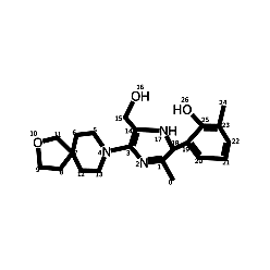 CC1=NC(N2CCC3(CCOC3)CC2)=C(CO)NC1c1cccc(C)c1O